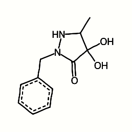 CC1NN(Cc2ccccc2)C(=O)C1(O)O